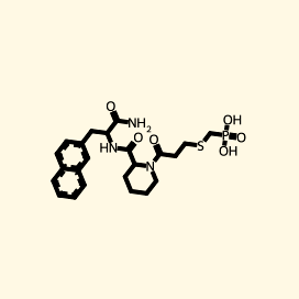 NC(=O)C(Cc1ccc2ccccc2c1)NC(=O)C1CCCCN1C(=O)CCSCP(=O)(O)O